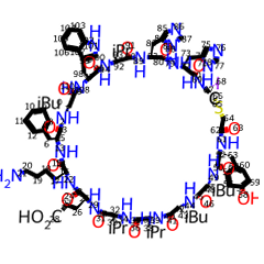 CC[C@H](C)[C@@H]1NC(=O)[C@H](Cc2ccccc2)NC(=O)[C@H](CCCCN)NC(=O)[C@H](CCC(=O)O)NC(=O)[C@H](C(C)C)NC(=O)[C@H](C(C)C)NC(=O)[C@H]([C@@H](C)CC)NC(=O)[C@H]([C@@H](C)CC)NC(=O)[C@@H](Cc2ccc(O)cc2)NC(=O)CSC[C@@H](I)NC(=O)[C@H](Cc2cnc[nH]2)NC(=O)[C@H](Cc2cnc[nH]2)NC(=O)[C@H](C(C)C)NC(=O)[C@H](Cc2c[nH]c3ccccc23)NC1=O